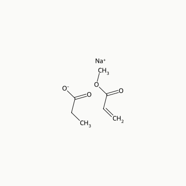 C=CC(=O)OC.CCC(=O)[O-].[Na+]